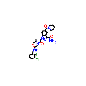 CC(C)N(CC(=O)NCc1cccc(Cl)c1F)C(=O)Cn1nc(C(N)=O)c2cc(C(=O)N3CCCCC3)ccc21